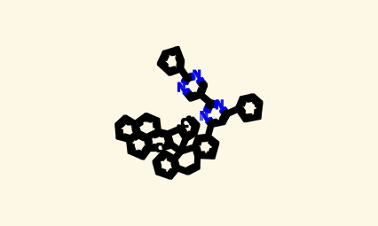 C1=Cc2ccc(-c3cc(-c4ccccc4)nc(-c4cnc(-c5ccccc5)nc4)n3)cc2C2(c3ccccc31)c1ccccc1-c1c2cc2ccc3cccc4ccc1c2c34